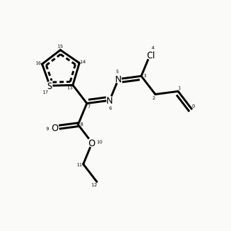 C=CC/C(Cl)=N\N=C(\C(=O)OCC)c1cccs1